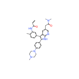 C=CC(=O)Nc1cc(-c2c(-c3ccc(N4CCN(C)CC4)cc3)[nH]c3ncc(CC(=O)N(C)C)cc23)ccc1C